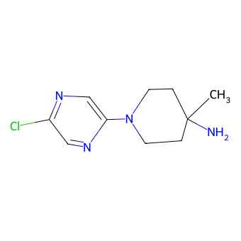 CC1(N)CCN(c2cnc(Cl)cn2)CC1